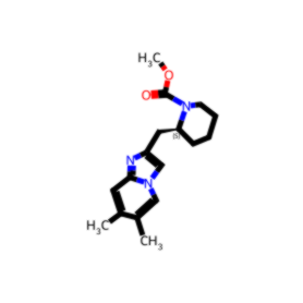 COC(=O)N1CCCC[C@H]1Cc1cn2cc(C)c(C)cc2n1